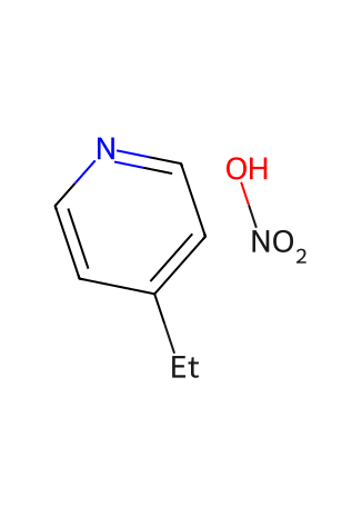 CCc1ccncc1.O=[N+]([O-])O